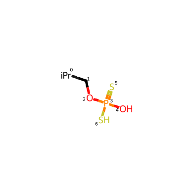 CC(C)COP(O)(=S)S